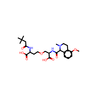 COc1cccc2c1CCN(C)C2C(=O)NC(COCCC(NC(=O)CC(C)(C)C)C(=O)O)C(=O)O